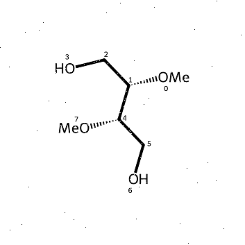 CO[C@@H](CO)[C@H](CO)OC